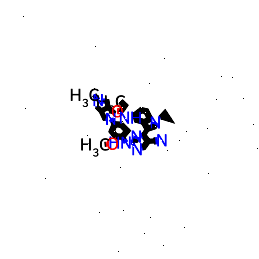 C=CC(=O)Nc1cc(Nc2ncc(C#N)c(-c3cn(C4CC4)c4ccccc34)n2)c(OC)cc1N1CC2CN(C)CC2C1